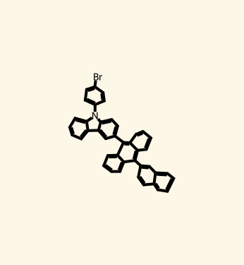 Brc1ccc(-n2c3ccccc3c3cc(-c4c5ccccc5c(-c5ccc6ccccc6c5)c5ccccc45)ccc32)cc1